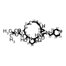 CC(C)(C)OC(=O)N[C@H]1CCCCC/C=C\[C@@H]2C[C@@]2(C(=O)NCc2ccncc2)NC(=O)[C@@H]2CCCN2C1=O